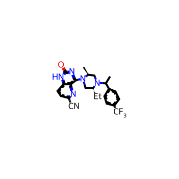 CC[C@@H]1CN(c2nc(=O)[nH]c3ccc(C#N)nc23)[C@@H](C)CN1C(C)c1ccc(C(F)(F)F)cc1